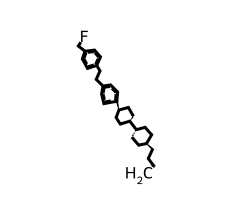 C=CCC[C@H]1CC[C@H]([C@H]2CC[C@H](c3ccc(CCc4ccc(CF)cc4)cc3)CC2)CC1